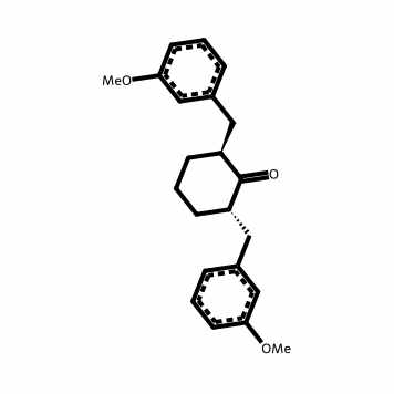 COc1cccc(C[C@@H]2CCC[C@@H](Cc3cccc(OC)c3)C2=O)c1